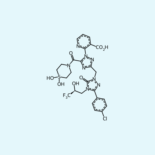 O=C(O)c1cccnc1-n1nc(Cn2nc(-c3ccc(Cl)cc3)n(C[C@H](O)C(F)(F)F)c2=O)nc1C(=O)N1CCS(O)(O)CC1